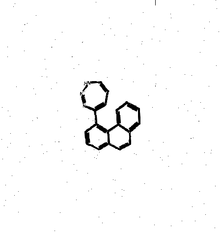 C1=CNN=NC(c2cccc3ccc4ccccc4c23)=C1